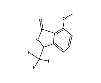 COc1cccc2c1C(=O)OC2C(F)(F)F